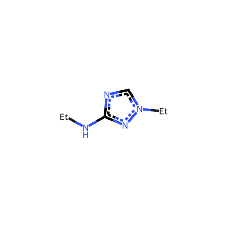 [CH2]Cn1cnc(NCC)n1